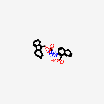 O=C(Nc1ccc2ccccc2c1C(=O)O)OCC1c2ccccc2-c2ccccc21